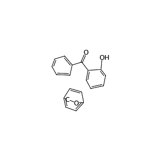 O=C(c1ccccc1)c1ccccc1O.c1cc2ccc1CO2